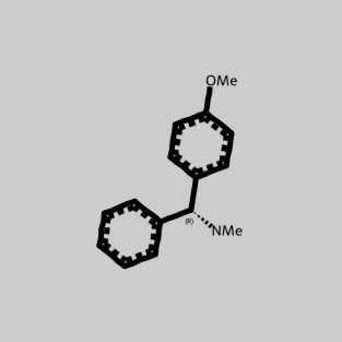 CN[C@H](c1ccccc1)c1ccc(OC)cc1